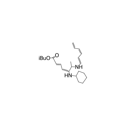 C=C/C=C\C=C\NC(C)/C(=C\C=C\C(=O)OCC(C)C)NC1CCCCC1